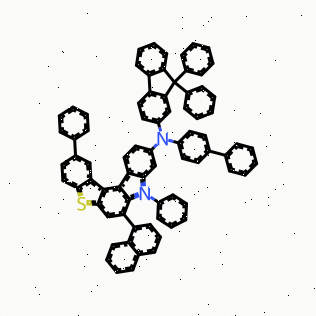 c1ccc(-c2ccc(N(c3ccc4c(c3)C(c3ccccc3)(c3ccccc3)c3ccccc3-4)c3ccc4c5c6c(cc(-c7cccc8ccccc78)c5n(-c5ccccc5)c4c3)sc3ccc(-c4ccccc4)cc36)cc2)cc1